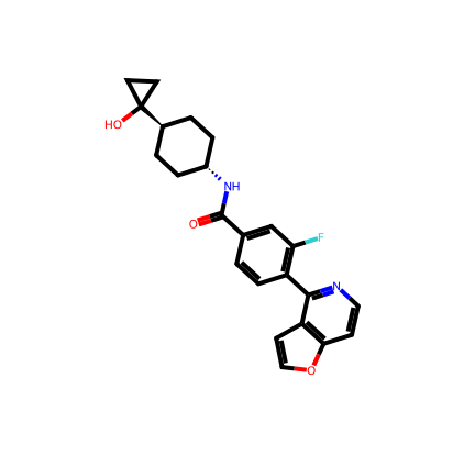 O=C(N[C@H]1CC[C@H](C2(O)CC2)CC1)c1ccc(-c2nccc3occc23)c(F)c1